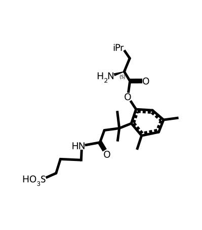 Cc1cc(C)c(C(C)(C)CC(=O)NCCCS(=O)(=O)O)c(OC(=O)[C@@H](N)CC(C)C)c1